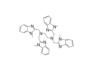 Cn1c(CN(CCN(Cc2nc3ccccc3n2C)Cc2nc3ccccc3n2C)Cc2nc3ccccc3n2C)nc2ccccc21